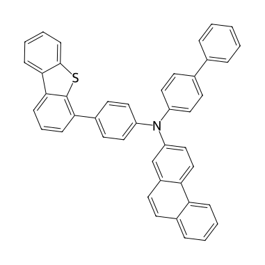 c1ccc(-c2ccc(N(c3ccc(-c4cccc5c4sc4ccccc45)cc3)c3ccc4c(ccc5ccccc54)c3)cc2)cc1